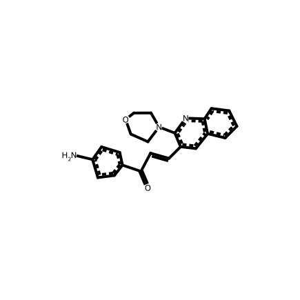 Nc1ccc(C(=O)C=Cc2cc3ccccc3nc2N2CCOCC2)cc1